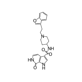 O=c1[nH]ccc2c(S(=O)(=O)NC3CCN(CCc4coc5ccccc45)CC3)c[nH]c12